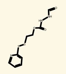 O=CNNC(=O)OCCSSc1ccccn1